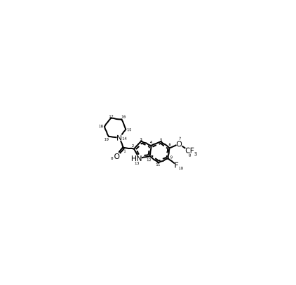 O=C(c1cc2cc(OC(F)(F)F)c(F)cc2[nH]1)N1CCCCC1